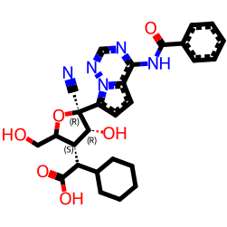 N#C[C@@]1(c2ccc3c(NC(=O)c4ccccc4)ncnn23)OC(CO)[C@@H](C(C(=O)O)C2CCCCC2)[C@H]1O